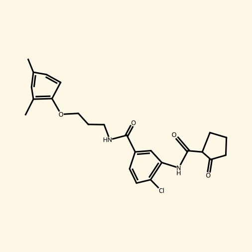 Cc1ccc(OCCCNC(=O)c2ccc(Cl)c(NC(=O)C3CCCC3=O)c2)c(C)c1